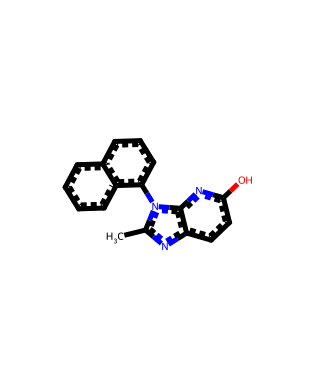 Cc1nc2ccc(O)nc2n1-c1cccc2ccccc12